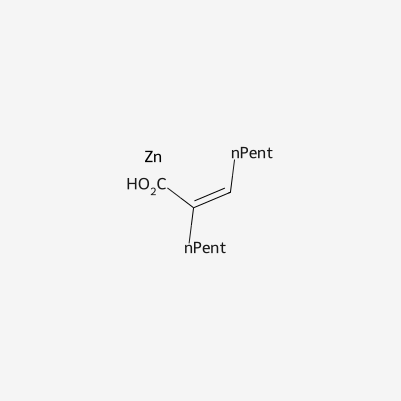 CCCCCC=C(CCCCC)C(=O)O.[Zn]